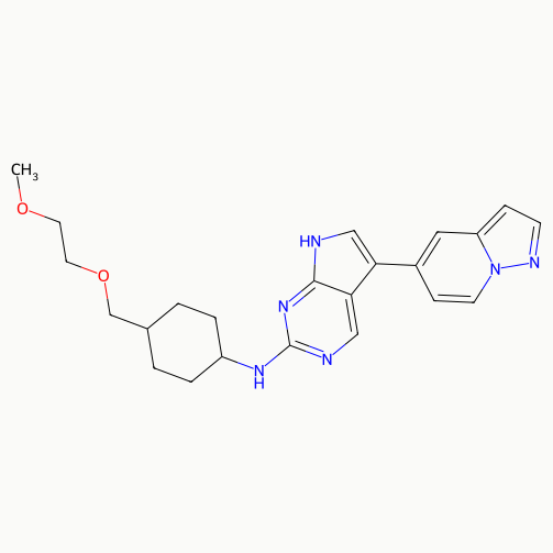 COCCOCC1CCC(Nc2ncc3c(-c4ccn5nccc5c4)c[nH]c3n2)CC1